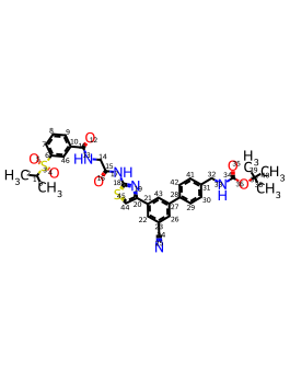 CC(C)S(=O)(=O)c1cccc(C(=O)NCC(=O)Nc2nc(-c3cc(C#N)cc(-c4ccc(CNC(=O)OC(C)(C)C)cc4)c3)cs2)c1